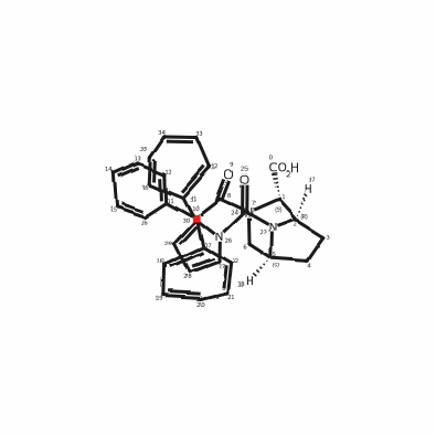 O=C(O)[C@@H]1[C@H]2CC[C@@H](CN1C(=O)N(c1ccccc1)c1ccccc1)N2C(=O)n1cccc1-c1ccccc1